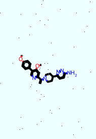 C=C(c1cc(OC)c(-c2ccc(OC)cc2)cn1)N1CCC(c2ccc(N)nn2)CC1